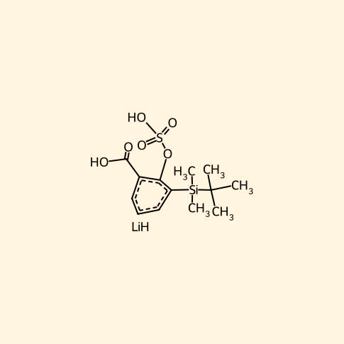 CC(C)(C)[Si](C)(C)c1cccc(C(=O)O)c1OS(=O)(=O)O.[LiH]